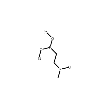 CCOP(CCP(C)Cl)OCC